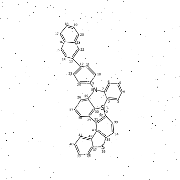 C[Si]12c3ccccc3N(c3ccc(-c4ccc5ccccc5c4)cc3)c3cccc(c31)-c1c2ccc2sc3ccccc3c12